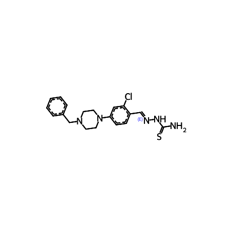 NC(=S)N/N=C/c1ccc(N2CCN(Cc3ccccc3)CC2)cc1Cl